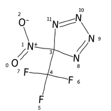 O=[N+]([O-])C1(C(F)(F)F)N=NN=N1